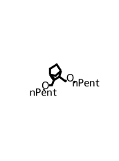 CCCCCOCC1=C2CCC(C2)C1COCCCCC